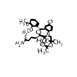 COc1cccc([C@H]2O[C@H](CCCC(N)=S)C(=O)N(CC(C)(C)OC(C)=O)c3ccc(Cl)cc32)c1OC